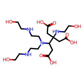 O=C(O)CC(N(CCNCCO)CCNCCO)C(CC(=O)O)(CC(=O)O)NCCO